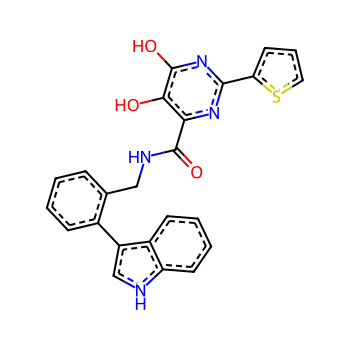 O=C(NCc1ccccc1-c1c[nH]c2ccccc12)c1nc(-c2cccs2)nc(O)c1O